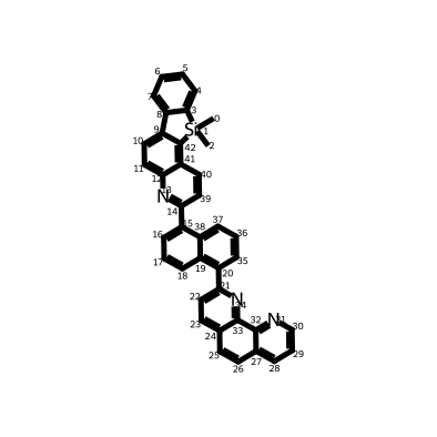 C[Si]1(C)c2ccccc2-c2ccc3nc(-c4cccc5c(-c6ccc7ccc8cccnc8c7n6)cccc45)ccc3c21